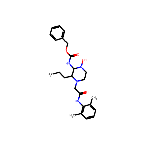 CCCC1C(NC(=O)OCc2ccccc2)N(O)CCN1CC(=O)Nc1c(C)cccc1C